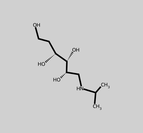 CC(C)NC[C@H](O)[C@@H](O)[C@H](O)CCO